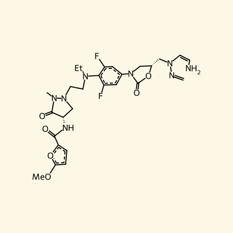 C=NN(/C=C\N)C[C@H]1CN(c2cc(F)c(N(CC)CCN3C[C@H](NC(=O)c4ccc(OC)o4)C(=O)N3C)c(F)c2)C(=O)O1